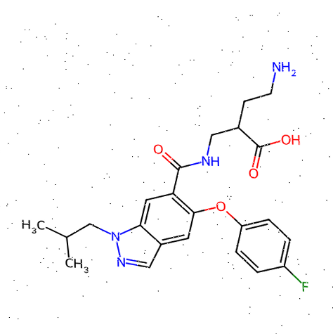 CC(C)Cn1ncc2cc(Oc3ccc(F)cc3)c(C(=O)NCC(CCN)C(=O)O)cc21